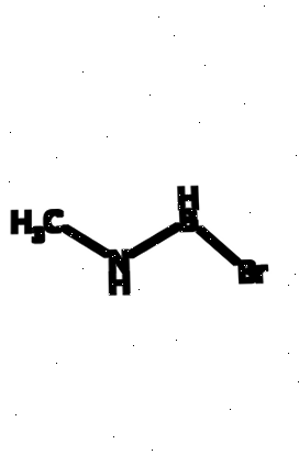 CNBBr